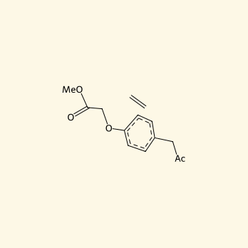 C=C.COC(=O)COc1ccc(CC(C)=O)cc1